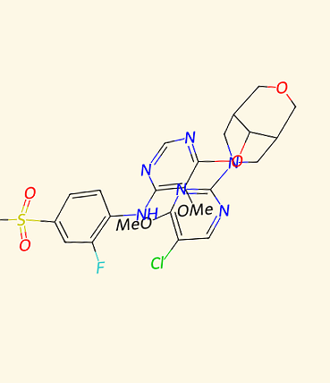 COc1nc(N2CC3COCC(C2)C3Oc2ncnc(Nc3ccc(S(C)(=O)=O)cc3F)c2OC)ncc1Cl